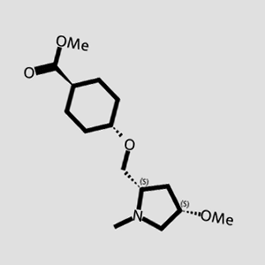 COC(=O)[C@H]1CC[C@H](OC[C@@H]2C[C@H](OC)CN2C)CC1